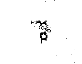 Cc1ccc(S(=O)(=O)OC(C)C(=O)C=N)cc1